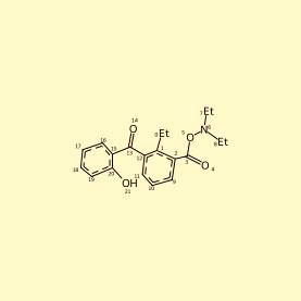 CCc1c(C(=O)ON(CC)CC)cccc1C(=O)c1ccccc1O